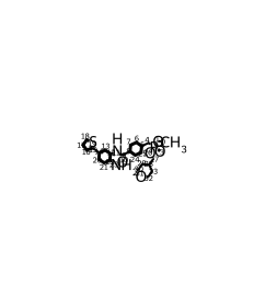 COP(=O)(Cc1ccc(C(=O)Nc2cc(-c3cccs3)ccc2N)cc1)OCC1CCOCC1